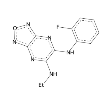 CCNc1nc2nonc2nc1Nc1ccccc1F